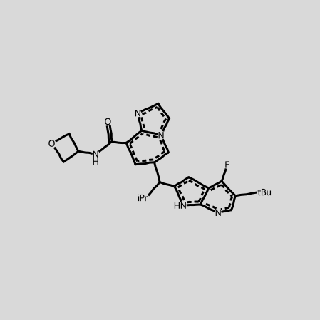 CC(C)C(c1cc(C(=O)NC2COC2)c2nccn2c1)c1cc2c(F)c(C(C)(C)C)cnc2[nH]1